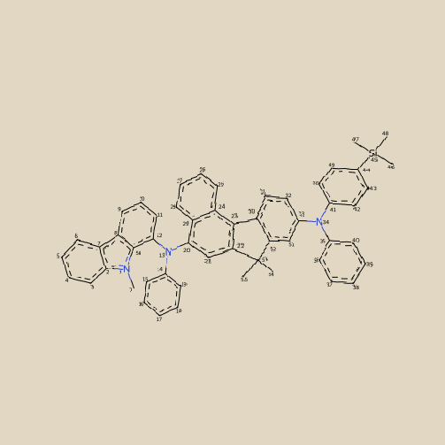 Cn1c2ccccc2c2cccc(N(c3ccccc3)c3cc4c(c5ccccc35)-c3ccc(N(c5ccccc5)c5ccc([Si](C)(C)C)cc5)cc3C4(C)C)c21